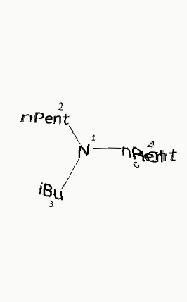 CCCCCN(CCCCC)C(C)CC.Cl